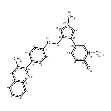 Cc1cc2ccccc2nc1-c1ccc(OCc2nn(C)cc2-c2ccc(=O)n(C)c2)cc1